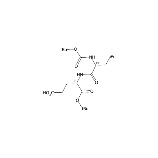 CC(C)C[C@@H](NC(=O)OC(C)(C)C)C(=O)N[C@@H](CCC(=O)O)C(=O)OC(C)(C)C